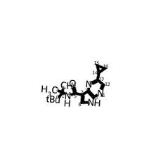 CC(C)(C)C(C)(C)NC(=O)c1c[nH]c2ncc(C3CC3)nc12